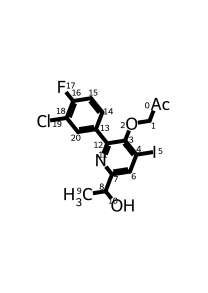 CC(=O)COc1c(I)cc(C(C)O)nc1-c1ccc(F)c(Cl)c1